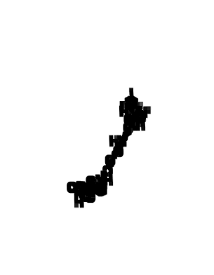 O=C1CCC(N2C(=O)c3cccc(NCCOCCOCCOCCNCCCONC(=O)c4ccc(F)c(F)c4Nc4ccc(I)cc4F)c3C2=O)C(=O)N1